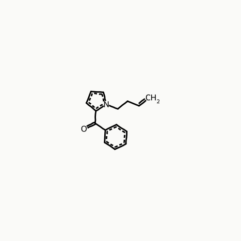 C=CCCn1cccc1C(=O)c1ccccc1